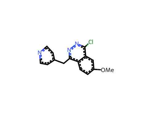 COc1ccc2c(Cc3ccncc3)nnc(Cl)c2c1